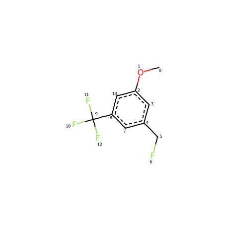 COc1cc(CF)cc(C(F)(F)F)c1